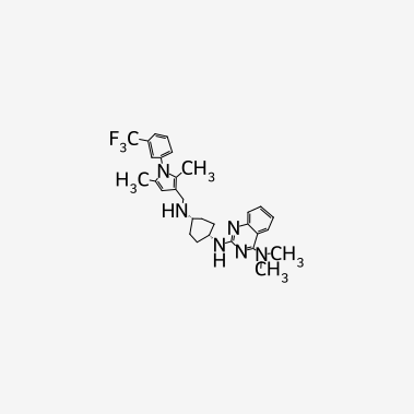 Cc1cc(CN[C@H]2CC[C@@H](Nc3nc(N(C)C)c4ccccc4n3)CC2)c(C)n1-c1cccc(C(F)(F)F)c1